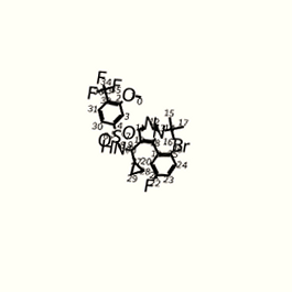 COc1cc(S(=O)(=O)N[C@@H](c2cnn(C(C)(C)C)c2-c2cc(F)ccc2Br)C2CC2)ccc1C(F)(F)F